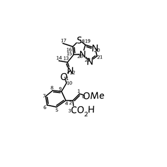 COC=C(C(=O)O)c1ccccc1CON=C(C)c1c(C)sc2ncnn12